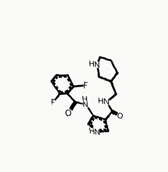 O=C(NCC1CCCNC1)c1c[nH]cc1NC(=O)c1c(F)cccc1F